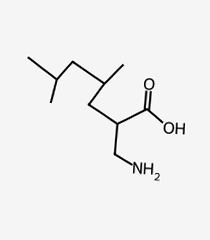 CC(C)CC(C)CC(CN)C(=O)O